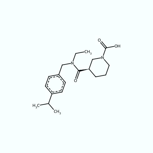 CCN(Cc1ccc(C(C)C)cc1)C(=O)[C@@H]1CCCN(C(=O)O)C1